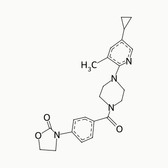 Cc1cc(C2CC2)cnc1N1CCN(C(=O)c2ccc(N3CCOC3=O)cc2)CC1